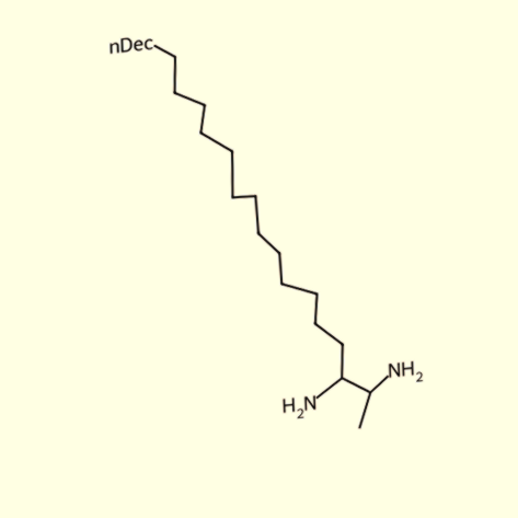 CCCCCCCCCCCCCCCCCCCCCCCC(N)C(C)N